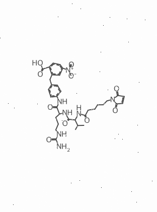 CC(C)C(NC(=O)CCCCCN1C(=O)C=CC1=O)C(=O)NC(CCCNC(N)=O)C(=O)Nc1ccc(Cc2cc([N+](=O)[O-])ccc2C(=O)O)cc1